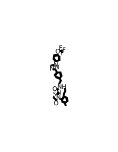 CCCc1ccc(C)cc1N1C(=O)CSC1=NC(=O)NCCc1ccc(-c2ncn(-c3ccc(OC(F)(F)F)cc3)n2)cc1